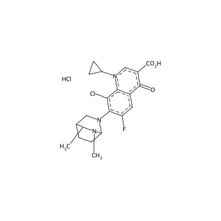 CC1C2CCC(N(c3c(F)cc4c(=O)c(C(=O)O)cn(C5CC5)c4c3Cl)C2)N1C.Cl